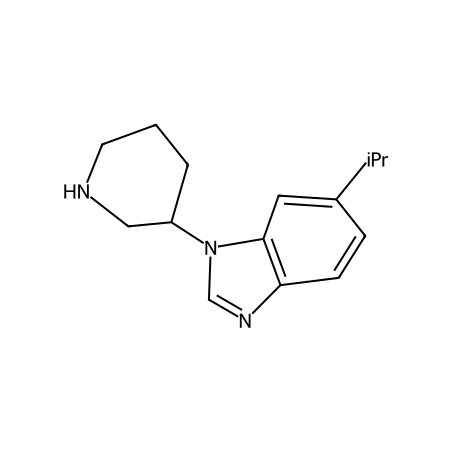 CC(C)c1ccc2ncn(C3CCCNC3)c2c1